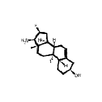 C[C@]12CC[C@]3(F)[C@H]4CC[C@H](O)CC4=CC[C@H]3[C@@H]1C[C@H](F)[C@@H]2N